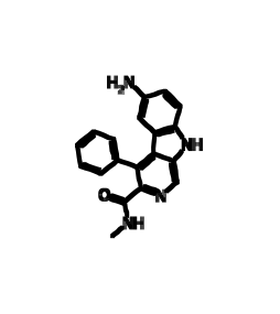 CNC(=O)c1ncc2[nH]c3ccc(N)cc3c2c1-c1ccccc1